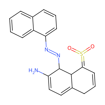 NC1=CC=C2CC=CC(=S(=O)=O)C2C1N=Nc1cccc2ccccc12